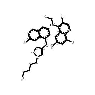 CC(C)(C)CNc1c(C#N)cnc2c(Cl)cc(N[C@H](C3=CN(CCCCC(F)(F)F)NN3)c3cccc4cnc(C#N)cc34)cc12